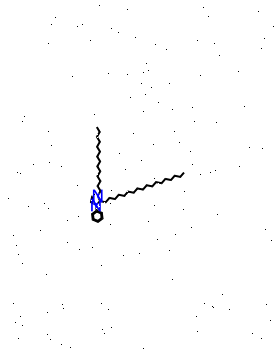 CCCCCCCCCCCCCCCCCCC1N(CCCCCCCCCCCCCC)C=CN1c1ccccc1